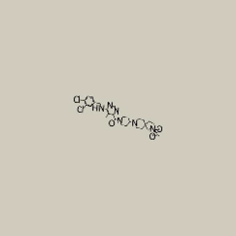 Cc1c(NCc2ccc(Cl)c(Cl)c2)ncnc1C(=O)N1CCC(N2CCC3(CC2)CCN(S(C)(=O)=O)C3)CC1